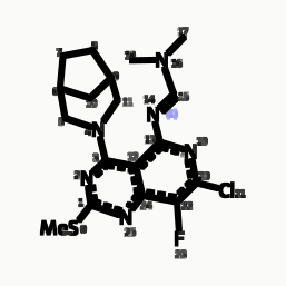 CSc1nc(N2CC3CCC(C3)C2)c2c(/N=C/N(C)C)nc(Cl)c(F)c2n1